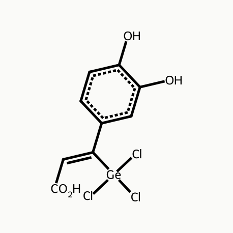 O=C(O)C=[C](c1ccc(O)c(O)c1)[Ge]([Cl])([Cl])[Cl]